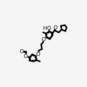 Cc1ccc(OC=O)cc1OCCCCOc1ccc(C(=O)CC2CCCC2)c(O)c1C